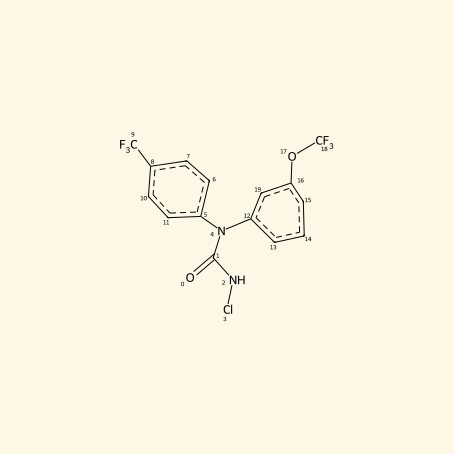 O=C(NCl)N(c1ccc(C(F)(F)F)cc1)c1cccc(OC(F)(F)F)c1